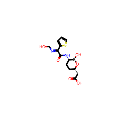 O=C(O)C[C@@H]1CC[C@H](NC(=O)/C(=N/CO)c2cccs2)B(O)O1